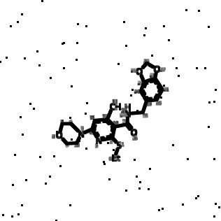 CCSc1nc(N2CCOCC2)cc(C)c1C(=O)NCc1ccc2c(c1)OCO2